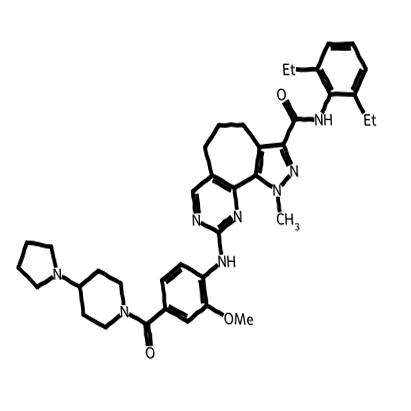 CCc1cccc(CC)c1NC(=O)c1nn(C)c2c1CCCc1cnc(Nc3ccc(C(=O)N4CCC(N5CCCC5)CC4)cc3OC)nc1-2